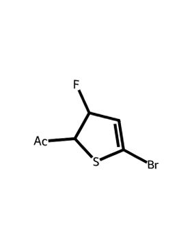 CC(=O)C1SC(Br)=CC1F